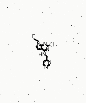 FCCn1ccc2c(NCc3ccncn3)nc(Cl)nc21